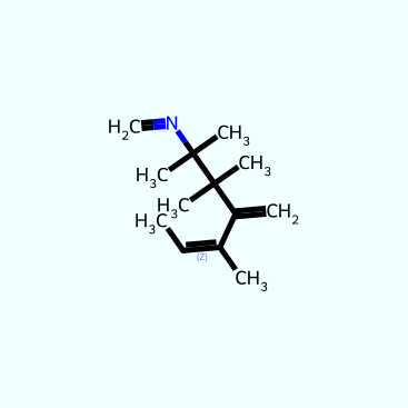 C=NC(C)(C)C(C)(C)C(=C)/C(C)=C\C